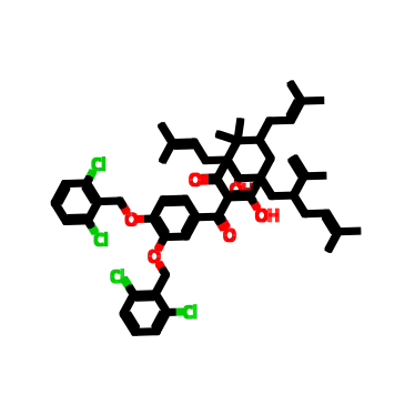 C=C(C)C(CC=C(C)C)CC12CC(CC=C(C)C)C(C)(C)C(CC=C(C)C)(C(=O)C(C(=O)c3ccc(OCc4c(Cl)cccc4Cl)c(OCc4c(Cl)cccc4Cl)c3)=C1O)C2O